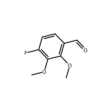 COc1c(F)ccc(C=O)c1OC